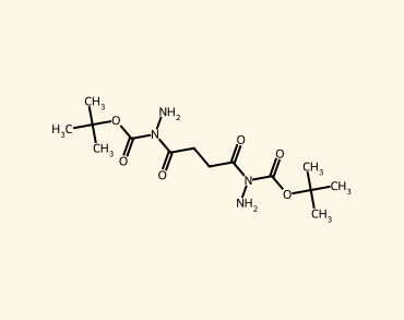 CC(C)(C)OC(=O)N(N)C(=O)CCC(=O)N(N)C(=O)OC(C)(C)C